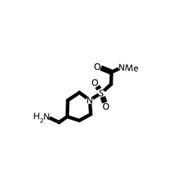 CNC(=O)CS(=O)(=O)N1CCC(CN)CC1